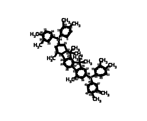 CC1=CC(N(c2ccc(C)c(C)c2)c2ccc(C)c(C)c2)=CC2C1c1ccc3c(c1C2(C)C)C(C)(C)c1cc(N(c2ccc(C)c(C)c2)c2ccc(C)c(C)c2)cc(C)c1-3